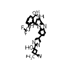 CC1(C#N)CC(O)(c2ncc(-c3ccc4nc5n(c4c3)[C@@H]3C[C@H]5NC(=O)c4cccc(OC(F)F)c43)cn2)C1